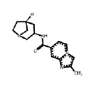 Cc1cn2ccc(C(=O)N[C@@H]3C[C@H]4CCN(C4)C3)cc2n1